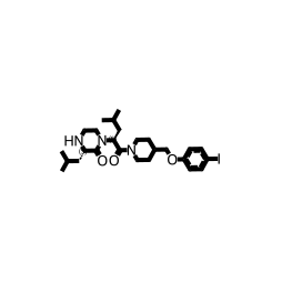 CC(C)C[C@@H]1NCCN([C@@H](CC(C)C)C(=O)N2CCC(COc3ccc(I)cc3)CC2)C1=O